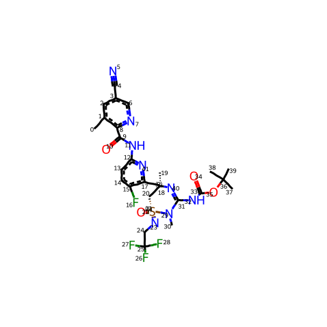 Cc1cc(C#N)cnc1C(=O)Nc1ccc(F)c([C@]2(C)C[S@@](=O)(=NCC(F)(F)F)N(C)C(NC(=O)OC(C)(C)C)=N2)n1